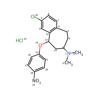 CN(C)C1CCc2ccc(Cl)cc2C(Oc2ccc([N+](=O)[O-])cc2)C1.Cl